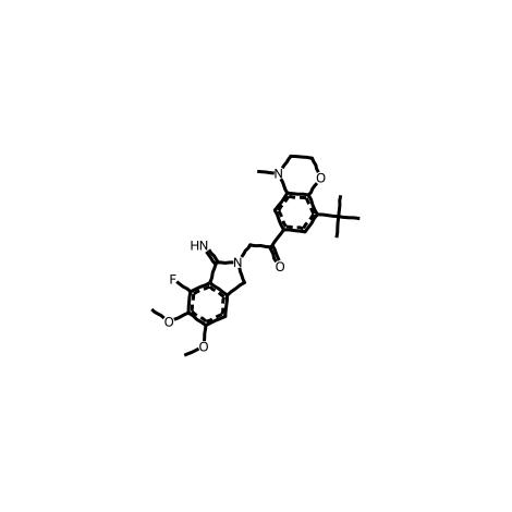 COc1cc2c(c(F)c1OC)C(=N)N(CC(=O)c1cc3c(c(C(C)(C)C)c1)OCCN3C)C2